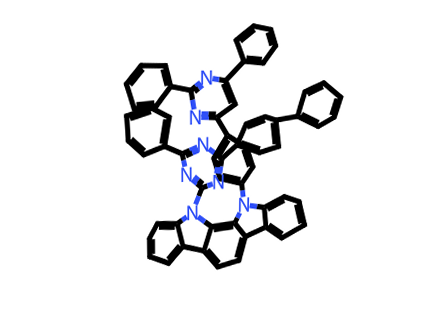 c1ccc(-c2ccc(-c3nc(-c4ccccc4)nc(-n4c5ccccc5c5ccc6c7ccccc7n(-c7ccc(-c8cc(-c9ccccc9)nc(-c9ccccc9)n8)cc7)c6c54)n3)cc2)cc1